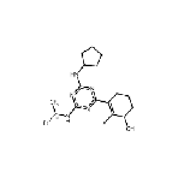 CC[C@@H](Nc1nc(NC2CCCC2)nc(C2=C(F)C(O)CCC2)n1)C(F)(F)F